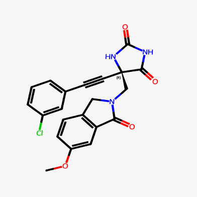 COc1ccc2c(c1)C(=O)N(C[C@@]1(C#Cc3cccc(Cl)c3)NC(=O)NC1=O)C2